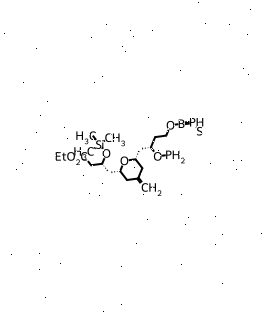 C=C1C[C@H](C[C@H](CC(=O)OCC)O[Si](C)(C)C)O[C@H](C[C@H](CCOB=[PH]=S)OP)C1